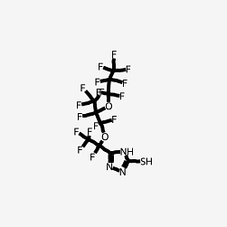 FC(F)(F)C(F)(OC(F)(F)C(F)(OC(F)(F)C(F)(F)C(F)(F)F)C(F)(F)F)c1nnc(S)[nH]1